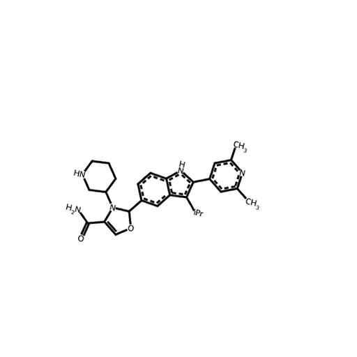 Cc1cc(-c2[nH]c3ccc(C4OC=C(C(N)=O)N4C4CCCNC4)cc3c2C(C)C)cc(C)n1